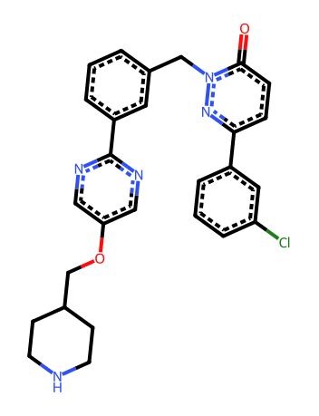 O=c1ccc(-c2cccc(Cl)c2)nn1Cc1cccc(-c2ncc(OCC3CCNCC3)cn2)c1